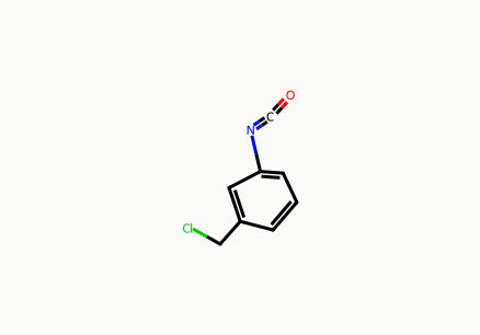 O=C=Nc1cccc(CCl)c1